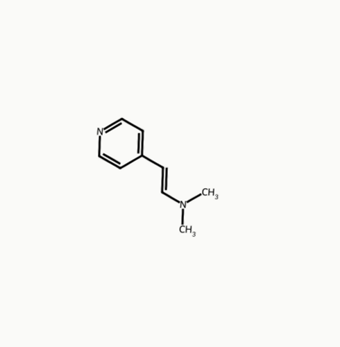 CN(C)C=Cc1ccncc1